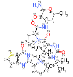 CCC[C@H](NC(=O)[C@@H]1C[C@@H](Oc2nc(-c3ccccn3)nc3ccsc23)CN1C(=O)[C@@H](NC(=O)NC(C)(C)C)C(C)(C)C)C(=O)C(N)=O